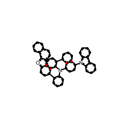 c1ccc(-c2ccccc2N(c2ccc(-n3c4ccccc4c4ccccc43)cc2)c2ccccc2-c2ccc3oc4c5ccccc5ccc4c3c2)cc1